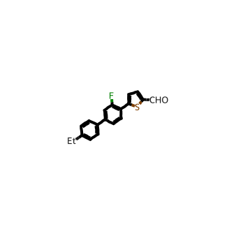 CCc1ccc(-c2ccc(-c3ccc(C=O)s3)c(F)c2)cc1